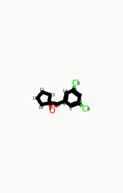 Clc1cc(Cl)cc(C2OC23CCCC3)c1